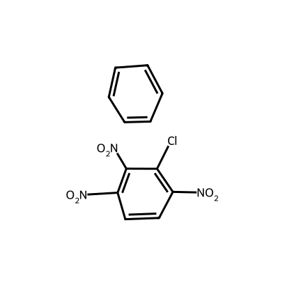 O=[N+]([O-])c1ccc([N+](=O)[O-])c([N+](=O)[O-])c1Cl.c1ccccc1